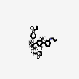 C=C/C=C\c1cccc(-c2c(C)cc3c(nc(O[C@@H](C)[C@@H]4CCCN4C)c4nnn(C5CCN(C(=O)C=C)CC5)c43)c2F)c1C#N